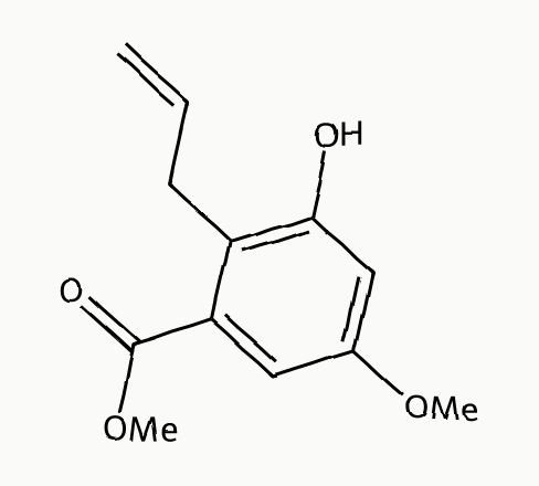 C=CCc1c(O)cc(OC)cc1C(=O)OC